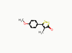 COc1ccc(-c2ssc(=O)c2C)cc1